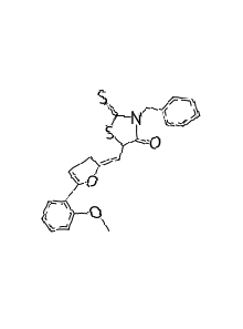 COc1ccccc1C1=CC/C(=C\C2SC(=S)N(Cc3ccccc3)C2=O)O1